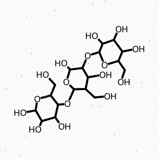 OCC1OC(OC2C(O)OC(OC3C(CO)OC(O)C(O)C3O)C(CO)C2O)C(O)C(O)C1O